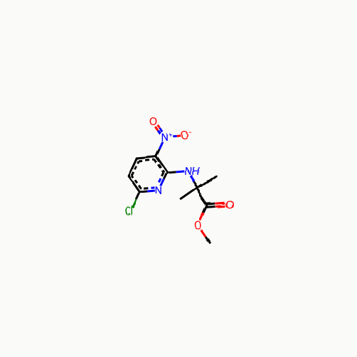 COC(=O)C(C)(C)Nc1nc(Cl)ccc1[N+](=O)[O-]